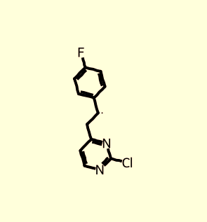 Fc1ccc([CH]Cc2ccnc(Cl)n2)cc1